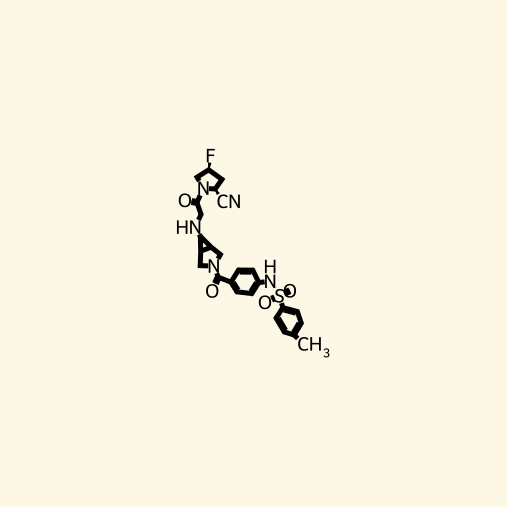 Cc1ccc(S(=O)(=O)Nc2ccc(C(=O)N3CC4C(C3)C4NCC(=O)N3C[C@@H](F)C[C@H]3C#N)cc2)cc1